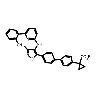 CCOC(=O)C1(c2ccc(-c3ccc(-c4onc(C)c4Nc4cccc(-c5ccccc5C#N)n4)cc3)cc2)CC1